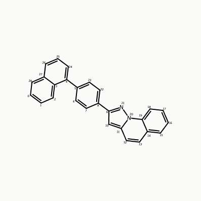 c1ccc2c(-c3ccc(-c4cc5ccc6ccccc6n5n4)cc3)cccc2c1